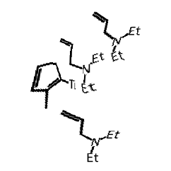 C=CCN(CC)CC.C=CCN(CC)CC.C=CCN(CC)CC.CC1=[C]([Ti])CC=C1